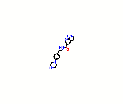 O=C(NCCc1ccc(N2CCNCC2)cc1)c1cnc2[nH]ccc2c1